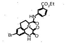 CCOC(=O)c1cccc(NC(=O)C2CCc3cc(Br)cc4[nH]c(=O)c(=O)n2c34)c1